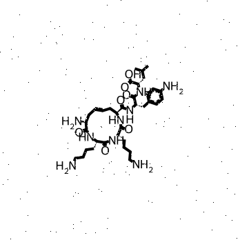 CC(C)C[C@H](NC(=O)[C@H](Cc1ccc(N)cc1)NC(=O)[C@@H]1C/C=C/C[C@H](N)C(=O)N[C@@H](CCCCN)C(=O)N[C@@H](CCCCN)C(=O)N1)C(=O)O